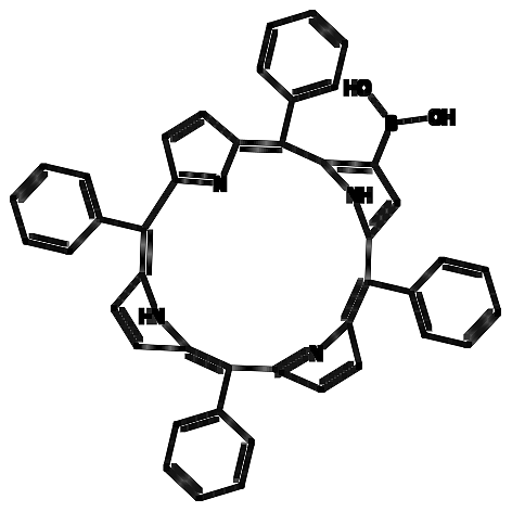 OB(O)c1cc2[nH]c1c(-c1ccccc1)c1nc(c(-c3ccccc3)c3ccc([nH]3)c(-c3ccccc3)c3nc(c2-c2ccccc2)C=C3)C=C1